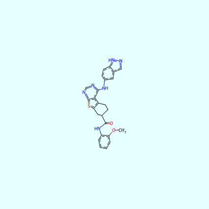 COc1ccccc1NC(=O)C1CCc2c(sc3ncnc(Nc4ccc5[nH]ncc5c4)c23)C1